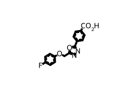 O=C(O)c1ccc(-c2nnc(COc3ccc(F)cc3)o2)cc1